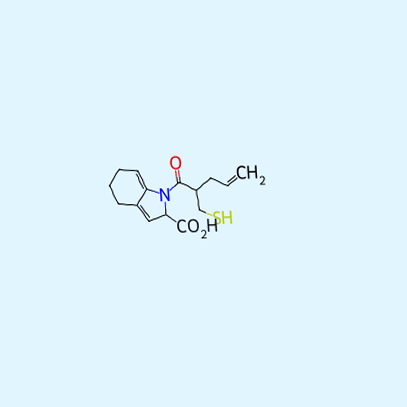 C=CCC(CS)C(=O)N1C2=CCCCC2=CC1C(=O)O